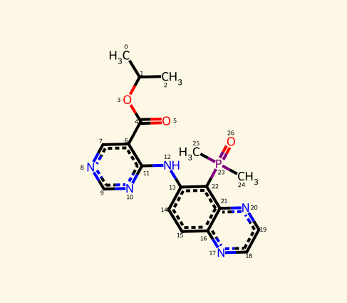 CC(C)OC(=O)c1cncnc1Nc1ccc2nccnc2c1P(C)(C)=O